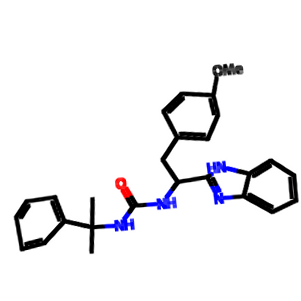 COc1ccc(CC(NC(=O)NC(C)(C)c2ccccc2)c2nc3ccccc3[nH]2)cc1